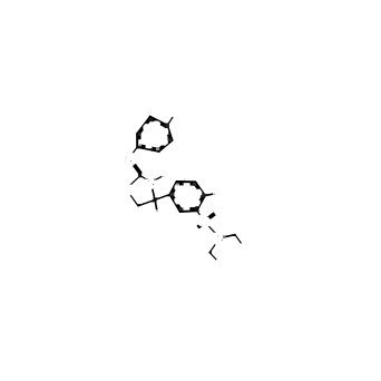 Br.CCN(CC)S(=O)(=O)c1cc(C2(O)CSC(=Nc3ccc(Cl)cc3)N2C)ccc1Cl